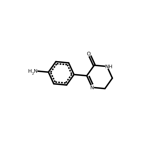 Nc1ccc(C2=NCCNC2=O)cc1